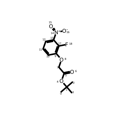 CC(C)(C)OC(=O)COc1cccc([N+](=O)[O-])c1F